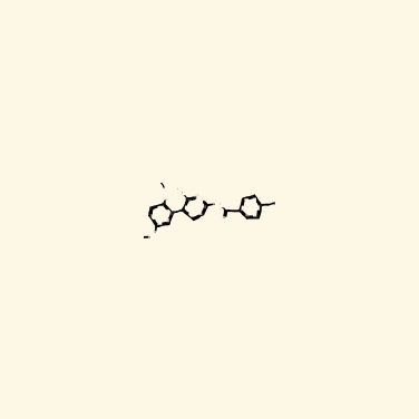 COc1ccc(OC)c(-c2ccc(NC(=O)c3ccc(C)cc3)nc2N)c1